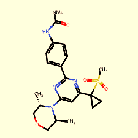 CNC(=O)Nc1ccc(-c2nc(N3[C@@H](C)COC[C@@H]3C)cc(C3(S(C)(=O)=O)CC3)n2)cc1